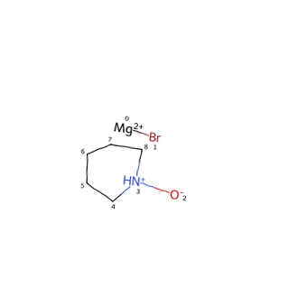 [Mg+2][Br].[O-][NH+]1CCCCC1